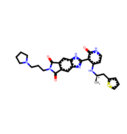 C[C@H](Cc1cccs1)Nc1cc[nH]c(=O)c1-c1nc2cc3c(cc2[nH]1)C(=O)N(CCCN1CCCC1)C3=O